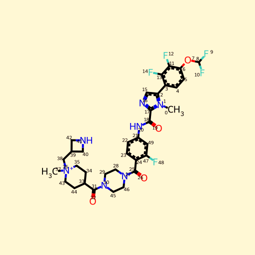 Cn1c(-c2ccc(OC(F)F)c(F)c2F)cnc1C(=O)Nc1ccc(C(=O)N2CCN(C(=O)C3CC[N+](C)(CC4CNC4)CC3)CC2)c(F)c1